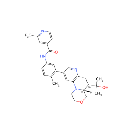 Cc1ccc(NC(=O)c2ccnc(C(F)(F)F)c2)cc1-c1cnc2c(c1)N1CCOC[C@H]1[C@@H](C(C)(C)O)C2